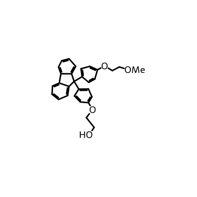 COCCOc1ccc(C2(c3ccc(OCCO)cc3)c3ccccc3-c3ccccc32)cc1